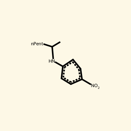 CCCCCC(C)Nc1ccc([N+](=O)[O-])cc1